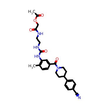 CC(=O)OCC(=O)NCCNC(=O)Nc1cc(C(=O)N2CCC(c3ccc(C#N)cc3)CC2)ccc1C